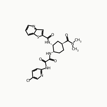 CN(C)C(=O)[C@H]1CC[C@H](NC(=O)C(=O)Nc2ccc(Cl)cn2)[C@H](NC(=O)c2cc3ncccc3s2)C1